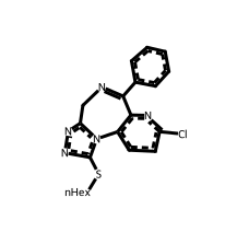 CCCCCCSc1nnc2n1-c1ccc(Cl)nc1C(c1ccccc1)=NC2